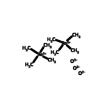 [CH3][Re+3]([CH3])([CH3])[CH3].[CH3][Re+3]([CH3])([CH3])[CH3].[O-2].[O-2].[O-2]